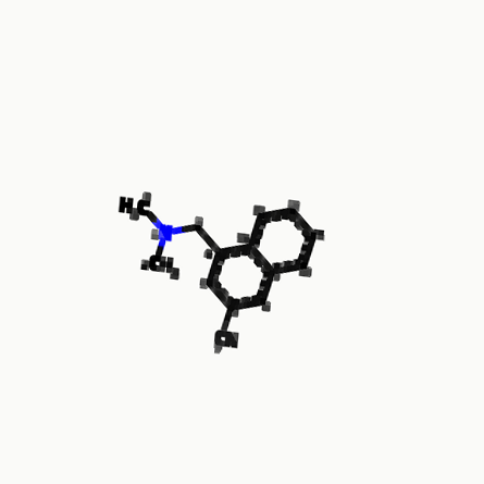 CN(C)Cc1cc(C#N)cc2ccccc12